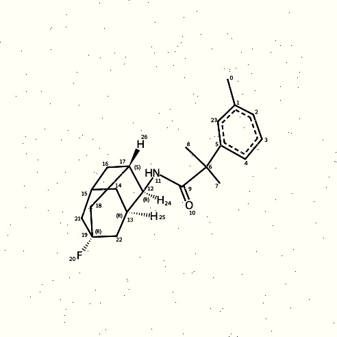 Cc1cccc(C(C)(C)C(=O)N[C@H]2[C@@H]3CC4C[C@H]2C[C@](F)(C4)C3)c1